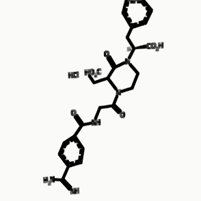 Cl.N=C(N)c1ccc(C(=O)NCC(=O)N2CCN([C@@H](Cc3ccccc3)C(=O)O)C(=O)C2CC(=O)O)cc1